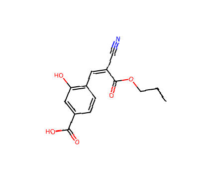 CCCOC(=O)C(C#N)=Cc1ccc(C(=O)O)cc1O